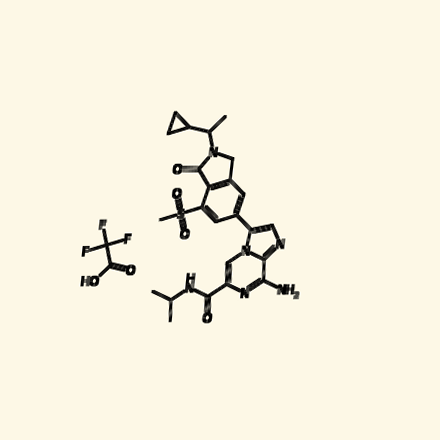 CC(C)NC(=O)c1cn2c(-c3cc4c(c(S(C)(=O)=O)c3)C(=O)N(C(C)C3CC3)C4)cnc2c(N)n1.O=C(O)C(F)(F)F